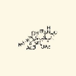 CC(=O)O[C@@H]1[C@H](n2ccc(=O)[nH]c2=O)O[C@@](CO)(CN=[N+]=[N-])[C@H]1OC(C)=O